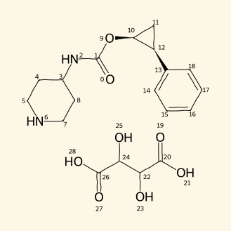 O=C(NC1CCNCC1)O[C@H]1C[C@H]1c1ccccc1.O=C(O)C(O)C(O)C(=O)O